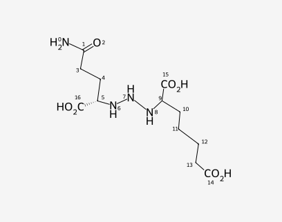 NC(=O)CC[C@H](NNNC(CCCCC(=O)O)C(=O)O)C(=O)O